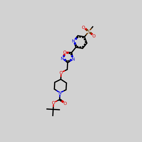 CC(C)(C)OC(=O)N1CCC(OCc2noc(-c3ccc(S(C)(=O)=O)cn3)n2)CC1